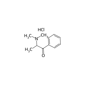 CC(C(=O)c1ccccc1)N(C)C.Cl